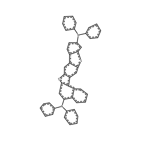 c1ccc(N(c2ccccc2)c2ccc3c(c2)sc2cc4c(cc23)sc2cc(N(c3ccccc3)c3ccccc3)c3ccccc3c24)cc1